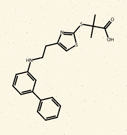 CC(C)(Sc1nc(CCNc2cccc(-c3ccccc3)c2)cs1)C(=O)O